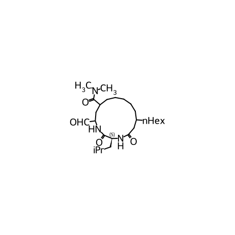 CCCCCCC1CCCCCC(C(=O)N(C)C)CC(C=O)NC(=O)[C@H](CC(C)C)NC(=O)C1